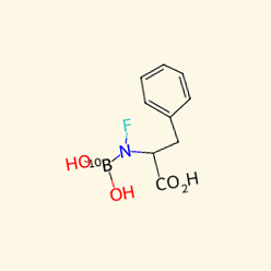 O=C(O)C(Cc1ccccc1)N(F)[10B](O)O